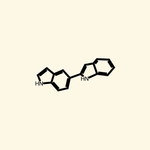 c1ccc2[nH]c(-c3ccc4[nH]ccc4c3)cc2c1